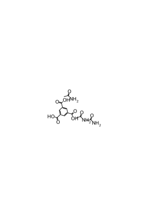 CC(N)=O.CC(N)=O.CC(N)=O.O=C(O)c1cc(C(=O)O)cc(C(=O)O)c1